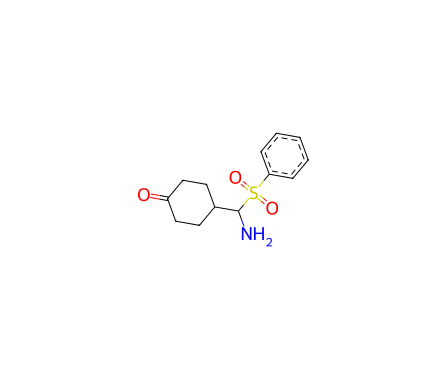 NC(C1CCC(=O)CC1)S(=O)(=O)c1ccccc1